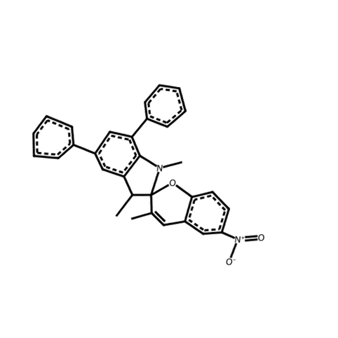 CC1=Cc2cc([N+](=O)[O-])ccc2OC12C(C)c1cc(-c3ccccc3)cc(-c3ccccc3)c1N2C